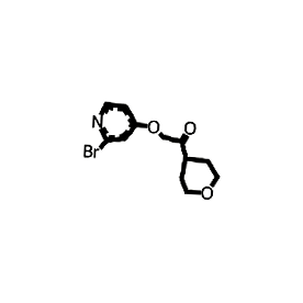 O=C(COc1ccnc(Br)c1)C1CCOCC1